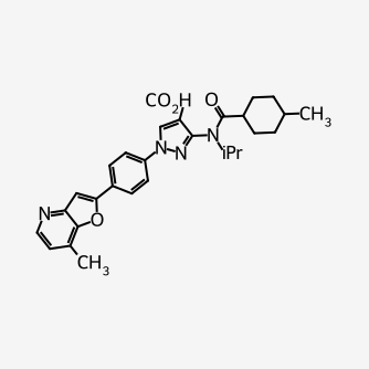 Cc1ccnc2cc(-c3ccc(-n4cc(C(=O)O)c(N(C(=O)C5CCC(C)CC5)C(C)C)n4)cc3)oc12